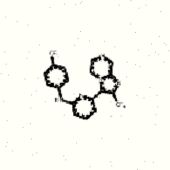 FC(F)(F)c1ccc(Nc2cccc(-c3c(C(F)(F)F)nc4cnccn34)n2)cc1